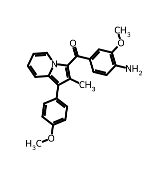 COc1ccc(-c2c(C)c(C(=O)c3ccc(N)c(OC)c3)n3ccccc23)cc1